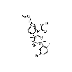 COCCOCN(C(=O)OC(C)(C)C)C1=N[C@](C)(c2cc(Br)ccc2F)CS(=N)(=O)[C@]1(C)c1ccc(F)cc1